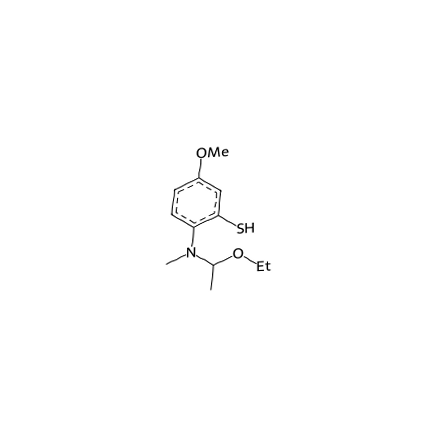 CCOC(C)N(C)c1ccc(OC)cc1S